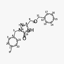 Cc1ccc(Cn2nc(COCc3ccccc3)[nH]c2=O)cc1